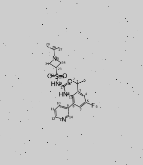 CC(C)c1cc(F)cc(-c2cccnc2)c1NC(=O)NS(=O)(=O)C1CN(C(C)C)C1